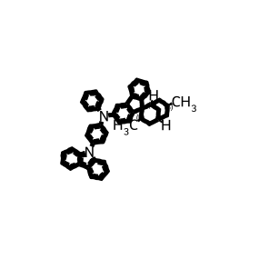 C[C@H]1C[C@@H]2C[C@H](C1)C1(c3ccccc3-c3cc(N(c4ccccc4)c4ccc(-n5c6ccccc6c6ccccc65)cc4)ccc31)[C@H](C)C2